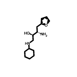 N[C@@H](Cc1ccco1)[C@H](O)CNC1CCCCC1